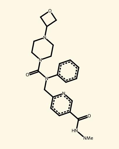 CNNC(=O)c1ccc(CN(C(=O)N2CCN(C3COC3)CC2)c2ccccc2)nc1